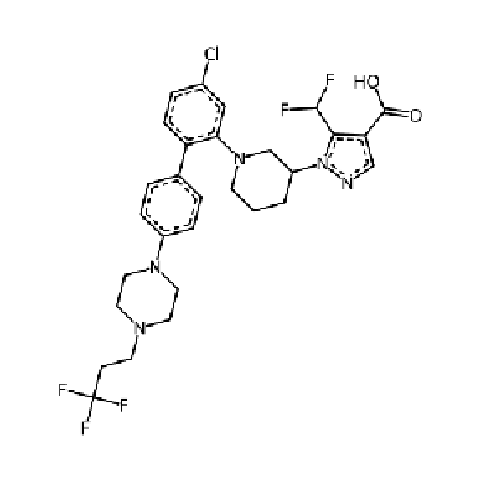 O=C(O)c1cnn(C2CCCN(c3cc(Cl)ccc3-c3ccc(N4CCN(CCC(F)(F)F)CC4)cc3)C2)c1C(F)F